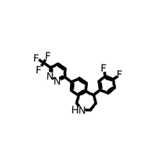 Fc1ccc(C2CCNCc3cc(-c4ccc(C(F)(F)F)nn4)ccc32)cc1F